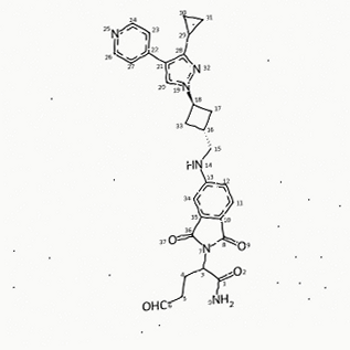 NC(=O)C(CCC=O)N1C(=O)c2ccc(NC[C@H]3C[C@H](n4cc(-c5ccncc5)c(C5CC5)n4)C3)cc2C1=O